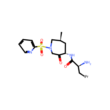 CC(C)C[C@H](N)C(=O)N[C@H]1C[C@H](C)CN(S(=O)(=O)c2ccccn2)CC1=O